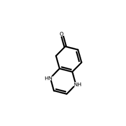 O=C1C=CC2=C(C1)NC=CN2